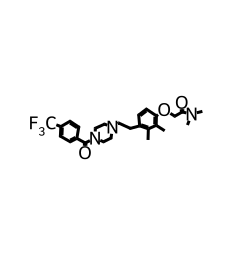 Cc1c(CCN2CCN(C(=O)c3ccc(C(F)(F)F)cc3)CC2)ccc(OCC(=O)N(C)C)c1C